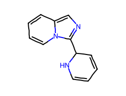 C1=CNC(c2ncc3ccccn23)C=C1